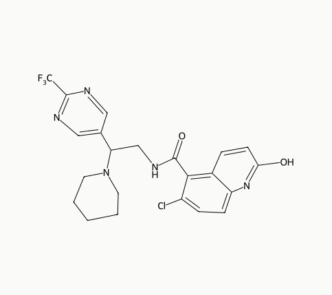 O=C(NCC(c1cnc(C(F)(F)F)nc1)N1CCCCC1)c1c(Cl)ccc2nc(O)ccc12